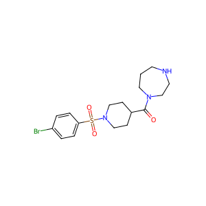 O=C(C1CCN(S(=O)(=O)c2ccc(Br)cc2)CC1)N1CCCNCC1